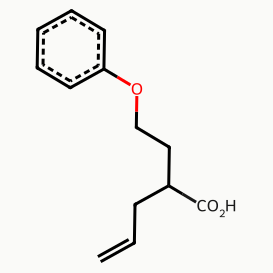 C=CCC(CCOc1ccccc1)C(=O)O